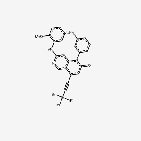 COc1ccccc1Nc1ncc2c(C#C[Si](C(C)C)(C(C)C)C(C)C)cc(=O)n(-c3cccc(NC(C)=O)c3)c2n1